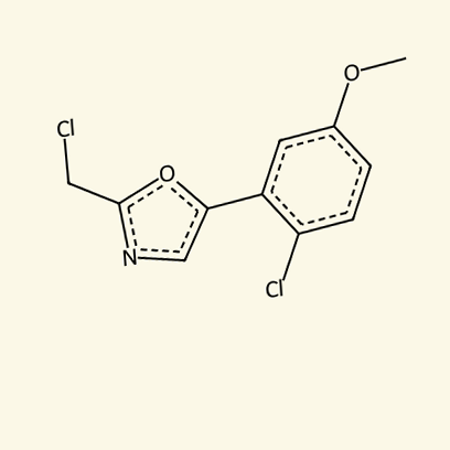 COc1ccc(Cl)c(-c2cnc(CCl)o2)c1